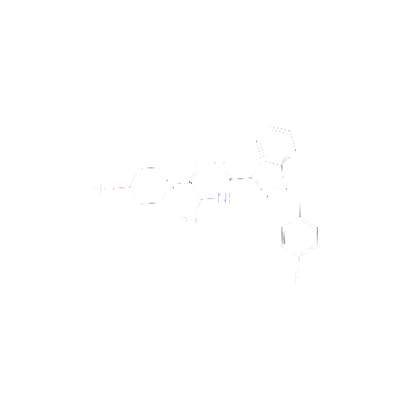 CC(C)(C)C(NC(=O)c1nn(Cc2ccc(F)cc2)c2ccccc12)C(=O)N1CCC(O)CC1